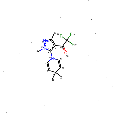 Cc1nn(C)c(N2C=CC(C)(C)C=C2)c1C(=O)C(F)(F)F